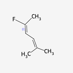 CC(C)=C/C=C(\C)F